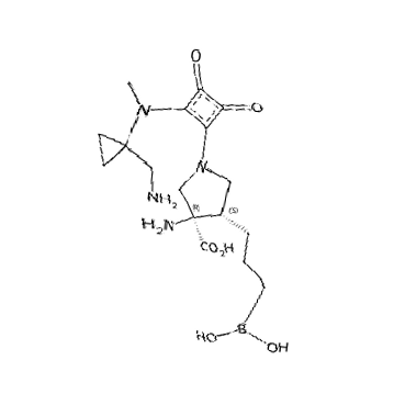 CN(c1c(N2C[C@H](CCCB(O)O)[C@](N)(C(=O)O)C2)c(=O)c1=O)C1(CN)CC1